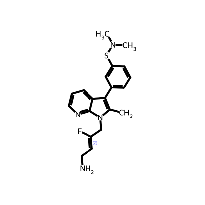 Cc1c(-c2cccc(SN(C)C)c2)c2cccnc2n1C/C(F)=C/CN